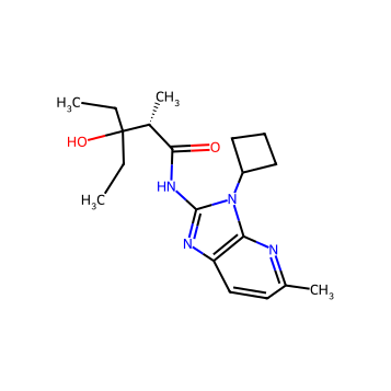 CCC(O)(CC)[C@H](C)C(=O)Nc1nc2ccc(C)nc2n1C1CCC1